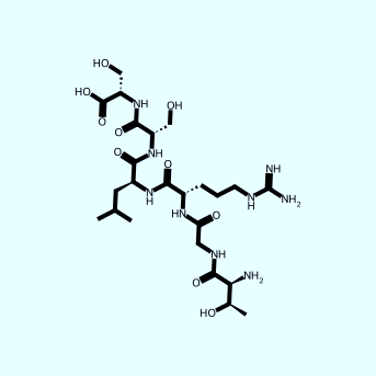 CC(C)C[C@H](NC(=O)[C@H](CCCNC(=N)N)NC(=O)CNC(=O)[C@@H](N)[C@@H](C)O)C(=O)N[C@@H](CO)C(=O)N[C@@H](CO)C(=O)O